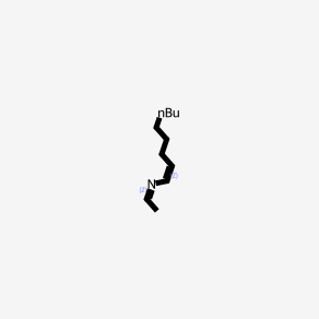 C/C=N\C=C/CCCCCCC